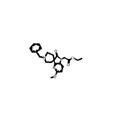 CCOC(=O)CN1C(=O)C2(CCN(Cc3ccccc3)CC2)c2nc(OC)ccc21